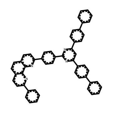 c1ccc(-c2ccc(-c3cc(-c4ccc(-c5ccccc5)cc4)nc(-c4ccc(-c5ccc6ccc7ccc(-c8ccccc8)nc7c6n5)cc4)n3)cc2)cc1